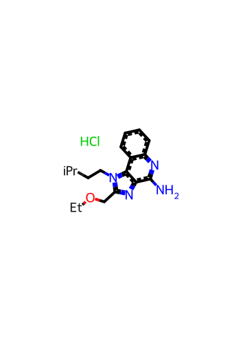 CCOCc1nc2c(N)nc3ccccc3c2n1CCC(C)C.Cl